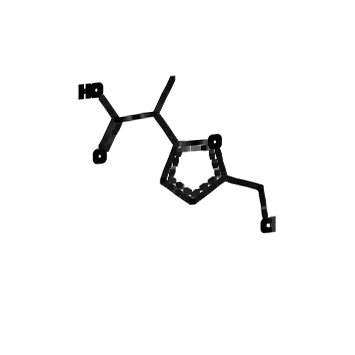 CC(C(=O)O)c1ccc(CCl)o1